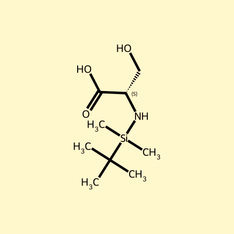 CC(C)(C)[Si](C)(C)N[C@@H](CO)C(=O)O